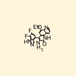 CCOc1cc2c(-c3cc(F)c(F)c4[nH]ncc34)c(N)c(=O)[nH]c2c2cccnc12